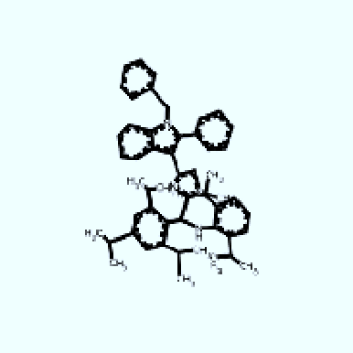 CC(C)c1cc(C(C)C)c(C(Nc2c(C(C)C)cccc2C(C)C)c2nc(-c3c(-c4ccccc4)n(Cc4ccccc4)c4ccccc34)cn2C)c(C(C)C)c1